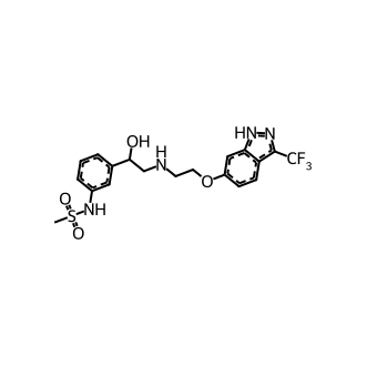 CS(=O)(=O)Nc1cccc(C(O)CNCCOc2ccc3c(C(F)(F)F)n[nH]c3c2)c1